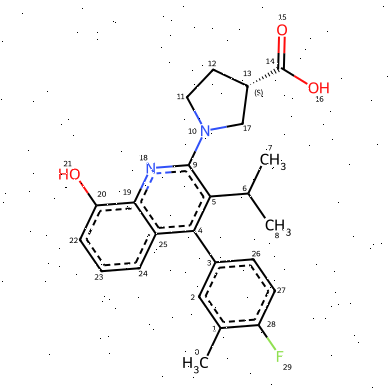 Cc1cc(-c2c(C(C)C)c(N3CC[C@H](C(=O)O)C3)nc3c(O)cccc23)ccc1F